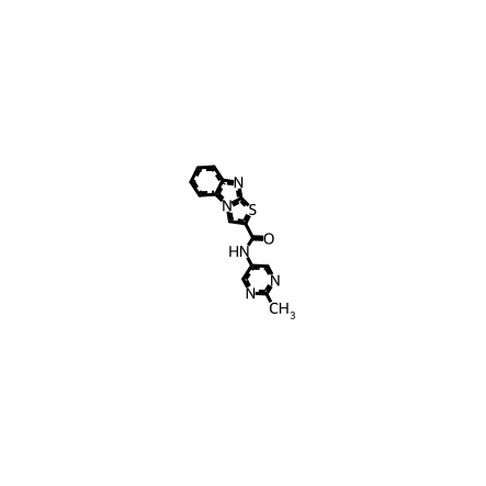 Cc1ncc(NC(=O)c2cn3c(nc4ccccc43)s2)cn1